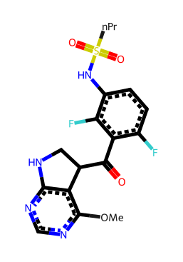 CCCS(=O)(=O)Nc1ccc(F)c(C(=O)C2CNc3ncnc(OC)c32)c1F